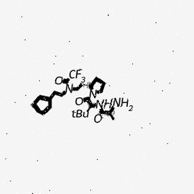 C[C@H](N)C(=O)N[C@H](C(=O)N1CCC[C@H]1CCN(CCc1ccccc1)C(=O)C(F)(F)F)C(C)(C)C